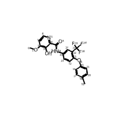 COc1ccnc(C(=O)Nc2ccc(Oc3ccc(C)cc3)c(C(F)(F)F)c2)c1O